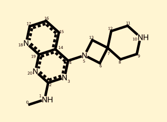 CNc1nc(N2CC3(CCNCC3)C2)c2cccnc2n1